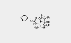 CC(C)C[C@H](NC(=O)OCc1ccccc1)C(=O)C(O)(C(N)C(C)C)S(=O)(=O)O.[NaH]